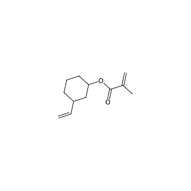 C=CC1CCCC(OC(=O)C(=C)C)C1